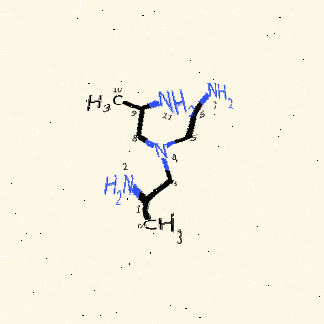 CC(N)CN(CCN)CC(C)N